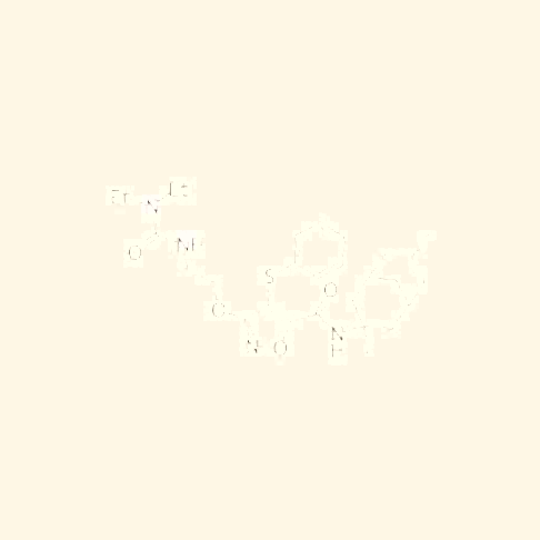 CCN(CC)C(=O)NCCOc1noc(C(=O)NC2(C)CC3CC(C)CC(C3)C2)c1Sc1ccccc1